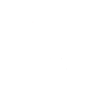 CC(C)(O)CCOC(=O)C(C)(C)C